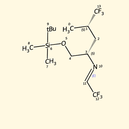 C[C@@H](C[C@@H](CO[Si](C)(C)C(C)(C)C)/N=C/C(F)(F)F)C(F)(F)F